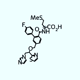 CSCC[C@H](NC(=O)c1ccc(COC(Cn2ccnc2)c2nccs2)cc1-c1ccc(F)cc1)C(=O)O